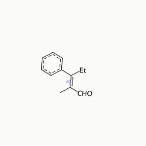 CC/C(=C(/C)C=O)c1ccccc1